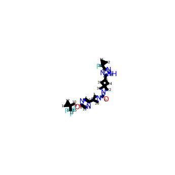 O=C(N1CC(c2cnc(OCC3(C(F)(F)F)CC3)cn2)C1)N1CC2(CC(c3nc(C4(F)CC4)n[nH]3)C2)C1